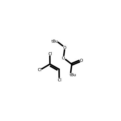 CC(C)(C)OOC(=O)C(C)(C)C.ClC=C(Cl)Cl